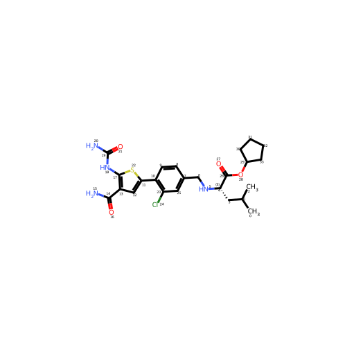 CC(C)C[C@H](NCc1ccc(-c2cc(C(N)=O)c(NC(N)=O)s2)c(Cl)c1)C(=O)OC1CCCC1